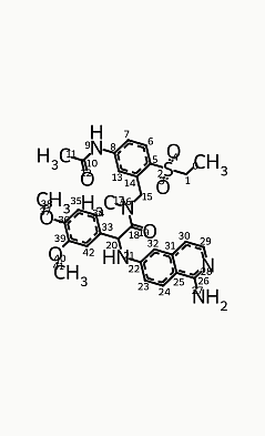 CCS(=O)(=O)c1ccc(NC(C)=O)cc1CN(C)C(=O)C(Nc1ccc2c(N)nccc2c1)c1ccc(OC)c(OC)c1